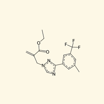 C=C(Cn1cnc(-c2cc(C)cc(C(F)(F)F)c2)n1)C(=O)OCC